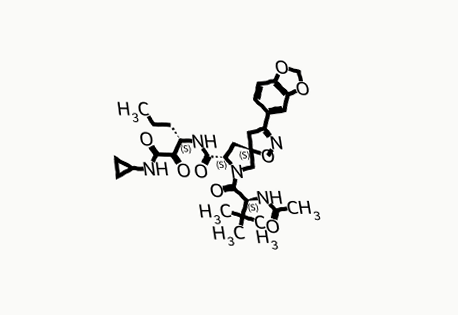 CCC[C@H](NC(=O)[C@@H]1C[C@]2(CC(c3ccc4c(c3)OCO4)=NO2)CN1C(=O)[C@@H](NC(C)=O)C(C)(C)C)C(=O)C(=O)NC1CC1